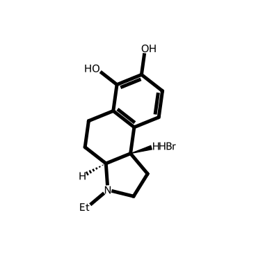 Br.CCN1CC[C@H]2c3ccc(O)c(O)c3CC[C@@H]21